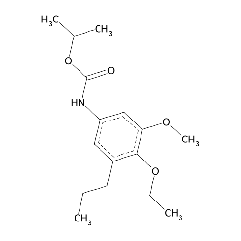 CCCc1cc(NC(=O)OC(C)C)cc(OC)c1OCC